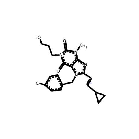 Cn1c(=O)n(CCCO)c(=O)c2c1nc(/C=C/C1CC1)n2Cc1ccc(Cl)cc1